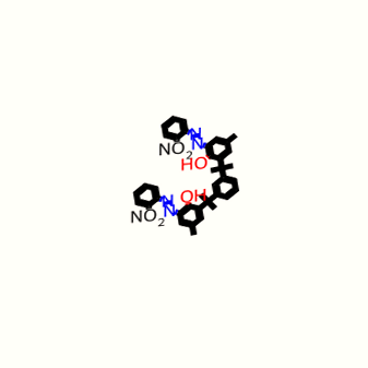 Cc1cc(N=Nc2ccccc2[N+](=O)[O-])c(O)c(C(C)(C)c2cccc(C(C)(C)c3cc(C)cc(N=Nc4ccccc4[N+](=O)[O-])c3O)c2)c1